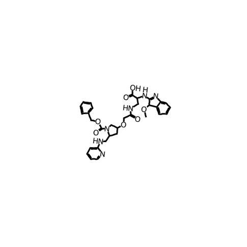 COC1C(NC(CNC(=O)COC2CC(CNc3ccccn3)N(C(=O)OCc3ccccc3)C2)C(=O)O)=Nc2ccccc21